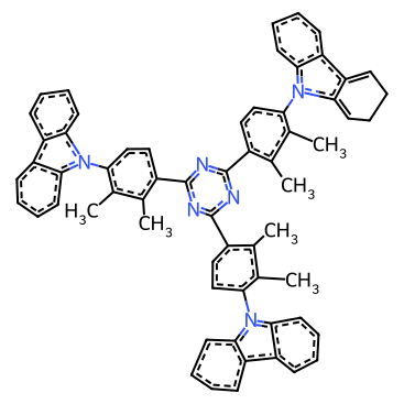 Cc1c(-c2nc(-c3ccc(-n4c5ccccc5c5ccccc54)c(C)c3C)nc(-c3ccc(-n4c5ccccc5c5ccccc54)c(C)c3C)n2)ccc(-n2c3c(c4ccccc42)=CCCC=3)c1C